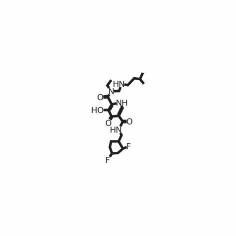 CCN(CNCCC(C)C)C(=O)c1[nH]cc(C(=O)NCC2CCC(F)CC2F)c(=O)c1O